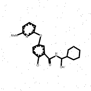 CNc1cccc(Oc2ccc(Cl)c(C(=O)NC(O)C3CCCCC3)c2)n1